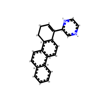 C1=C(c2cnccn2)c2ccc3c(ccc4ccccc43)c2CC1